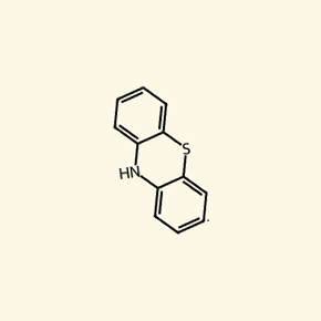 [c]1ccc2c(c1)Sc1ccccc1N2